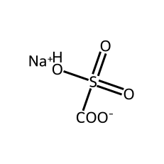 O=C([O-])S(=O)(=O)O.[Na+]